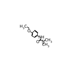 CCOc1ccc(NC(=O)N(C)C)cc1